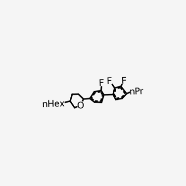 CCCCCCC1CCC(c2ccc(-c3ccc(CCC)c(F)c3F)c(F)c2)OC1